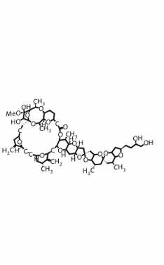 C=C1C2CC3O[C@H]4C[C@H]5O[C@@]6(CC7O[C@]8(C[C@H](C)C9O[C@H](CC[C@@H](O)CO)CC9O8)C[C@H](C)C7O6)C[C@H]5O[C@H]4[C@H](C)C3OC(=O)CC3CCC4O[C@H](C)C5O[C@@](CCC6CC(=C)[C@H](CC[C@@H](C[C@H]1C)O2)O6)(OC(C)[C@H]4O3)C(O)[C@@]5(O)OC